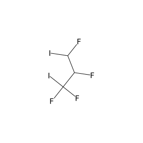 FC(I)C(F)C(F)(F)I